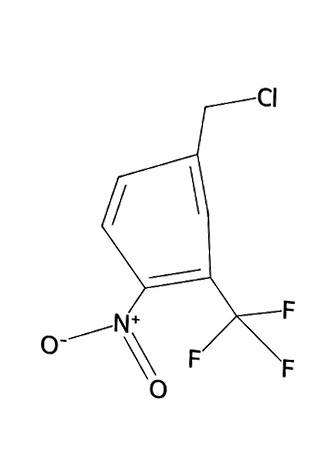 O=[N+]([O-])c1ccc(CCl)cc1C(F)(F)F